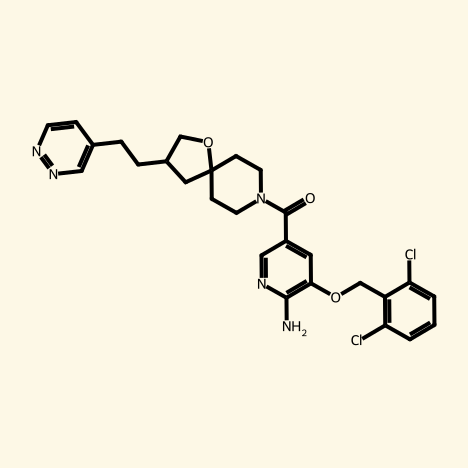 Nc1ncc(C(=O)N2CCC3(CC2)CC(CCc2ccnnc2)CO3)cc1OCc1c(Cl)cccc1Cl